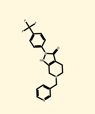 O=c1c2c([nH]n1-c1ccc(C(F)(F)F)cc1)CN(Cc1cccnc1)CC2